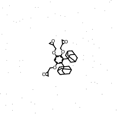 c1c(OCC2CO2)c(OCC2CO2)c(C23CC4CC(CC(C4)C2)C3)c(C23CC4CC(CC(C4)C2)C3)c1OCC1CO1